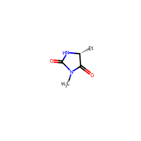 CC[C@H]1NC(=O)N(C)C1=O